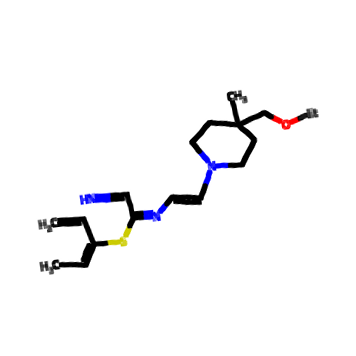 C=C/C(=C\C)S/C(C=N)=N/C=C/N1CCC(C)(COCC)CC1